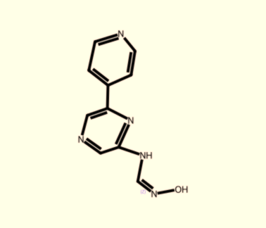 O/N=C\Nc1cncc(-c2ccncc2)n1